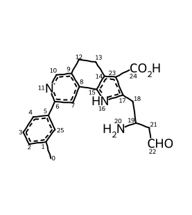 Cc1cccc(-c2cc3c(cn2)CCc2c-3[nH]c(CC(N)CC=O)c2C(=O)O)c1